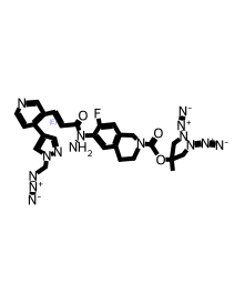 CC(CN=[N+]=[N-])(CN=[N+]=[N-])OC(=O)N1CCc2cc(N(N)C(=O)/C=C/c3cnccc3-c3cnn(CN=[N+]=[N-])c3)c(F)cc2C1